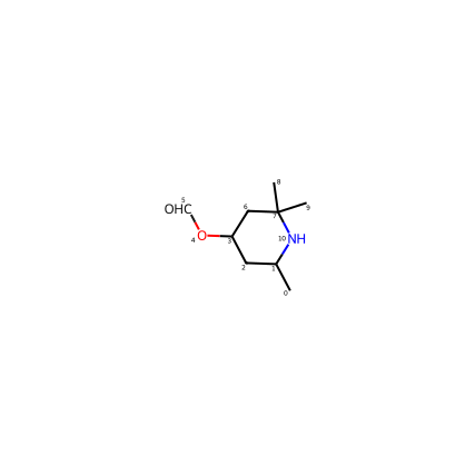 CC1CC(OC=O)CC(C)(C)N1